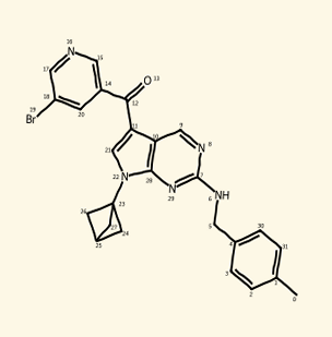 Cc1ccc(CNc2ncc3c(C(=O)c4cncc(Br)c4)cn(C45CC(C4)C5)c3n2)cc1